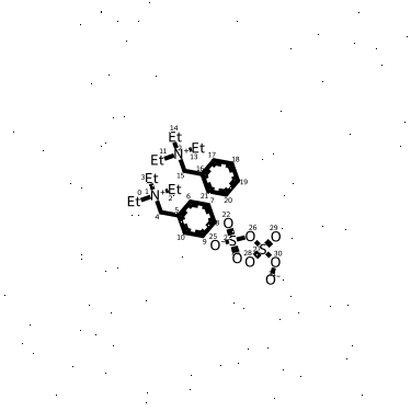 CC[N+](CC)(CC)Cc1ccccc1.CC[N+](CC)(CC)Cc1ccccc1.O=S(=O)([O-])OS(=O)(=O)O[O-]